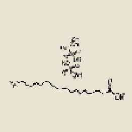 CCCCCCCCCCCCCCCC(=O)O.O=S(=O)(O)O.O=S(=O)(O)O.[Zn].[Zn]